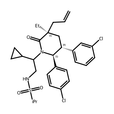 C=CC[C@@]1(CC)C[C@H](c2cccc(Cl)c2)[C@@H](c2ccc(Cl)cc2)N(C(CNS(=O)(=O)C(C)C)C2CC2)C1=O